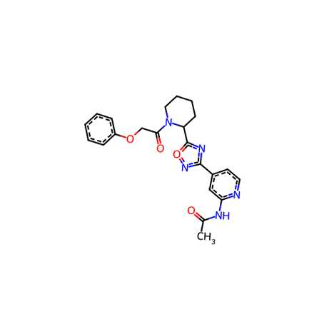 CC(=O)Nc1cc(-c2noc(C3CCCCN3C(=O)COc3ccccc3)n2)ccn1